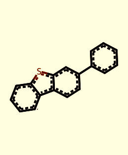 [c]1cccc2sc3cc(-c4ccccc4)ccc3c12